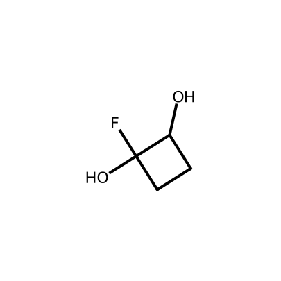 OC1CCC1(O)F